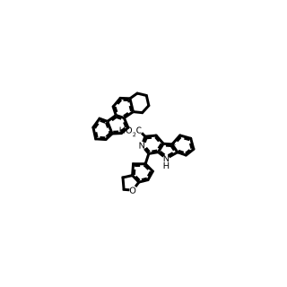 O=C(O)c1cc2c([nH]c3ccccc32)c(-c2ccc3c(c2)CCO3)n1.c1ccc2c(c1)ccc1c3c(ccc12)CCCC3